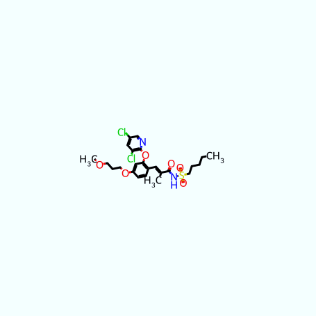 CCCCCS(=O)(=O)NC(=O)/C(C)=C/c1ccc(OCCCOC)cc1Oc1ncc(Cl)cc1Cl